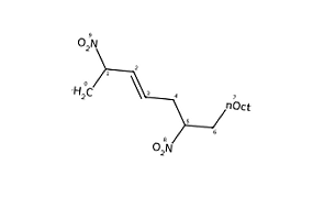 [CH2]C(C=CCC(CCCCCCCCC)[N+](=O)[O-])[N+](=O)[O-]